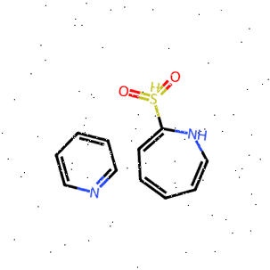 O=[SH](=O)C1=CC=CC=CN1.c1ccncc1